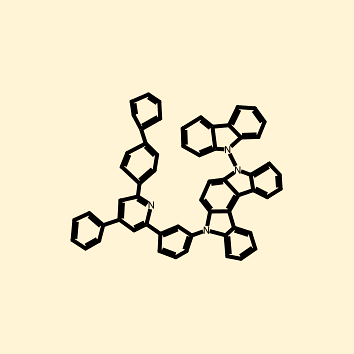 c1ccc(-c2ccc(-c3cc(-c4ccccc4)cc(-c4cccc(-n5c6ccccc6c6c7c8ccccc8n(-n8c9ccccc9c9ccccc98)c7ccc65)c4)n3)cc2)cc1